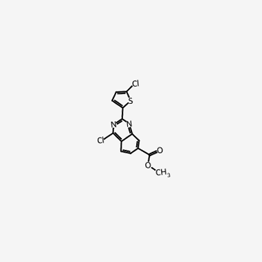 COC(=O)c1ccc2c(Cl)nc(-c3ccc(Cl)s3)nc2c1